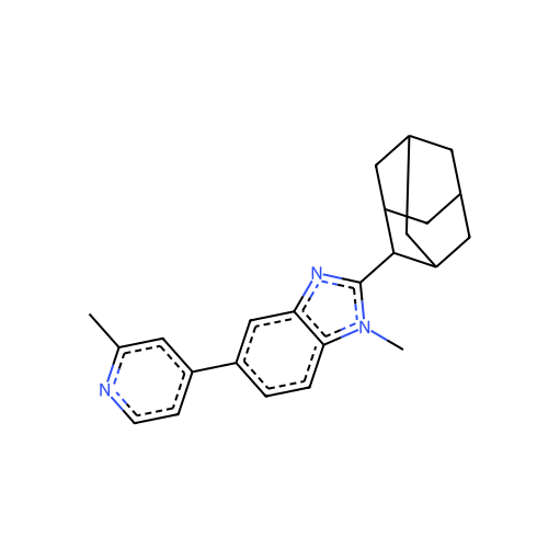 Cc1cc(-c2ccc3c(c2)nc(C2C4CC5CC(C4)CC2C5)n3C)ccn1